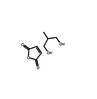 CC(CO)CO.O=C1C=CC(=O)O1